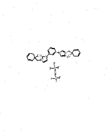 CC1(C[n+]2ccn(-c3cccc(-n4cc[n+](CC5(C)C=CC=CC5)c4)c3)c2)C=CC=CC1.F[B-](F)(F)F.F[B-](F)(F)F